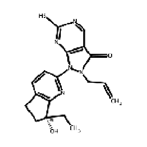 C=CCn1c(=O)c2cnc(S)nc2n1-c1ccc2c(n1)[C@@](O)(CC)CC2